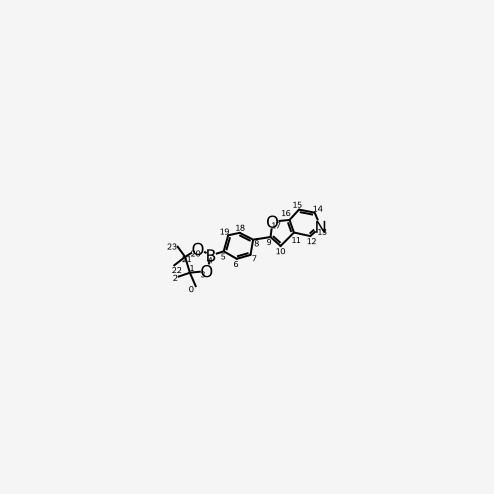 CC1(C)OB(c2ccc(-c3cc4cnccc4o3)cc2)OC1(C)C